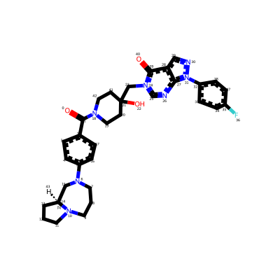 O=C(c1ccc(N2CCCN3CCC[C@H]3C2)cc1)N1CCC(O)(Cn2cnc3c(cnn3-c3ccc(F)cc3)c2=O)CC1